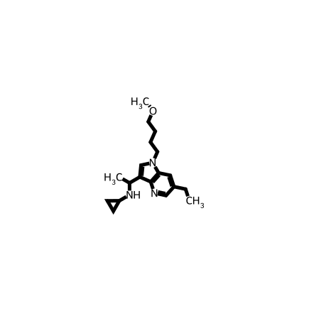 CCc1cnc2c(C(C)NC3CC3)cn(CCCCOC)c2c1